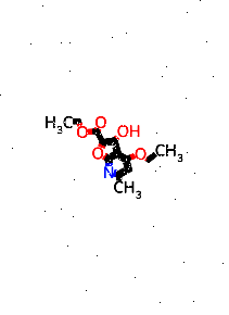 CCOC(=O)c1oc2nc(C)cc(OCC)c2c1O